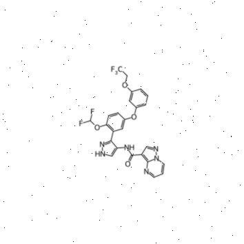 O=C(Nc1c[nH]nc1-c1cc(Oc2cccc(OCC(F)(F)F)c2)ccc1OC(F)F)c1cnn2cccnc12